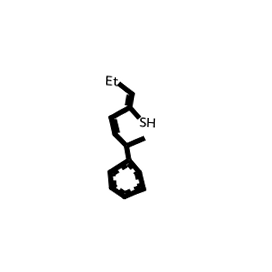 CC/C=C(S)\C=C/C(C)c1ccccc1